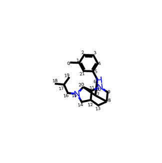 Cc1cccc(CC2C3CNC4C(C3)CN(CC(C)C)C24)c1